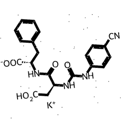 N#Cc1ccc(NC(=O)N[C@@H](CC(=O)O)C(=O)N[C@@H](Cc2ccccc2)C(=O)[O-])cc1.[K+]